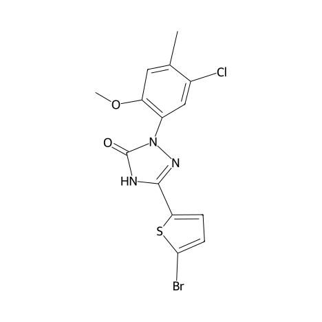 COc1cc(C)c(Cl)cc1-n1nc(-c2ccc(Br)s2)[nH]c1=O